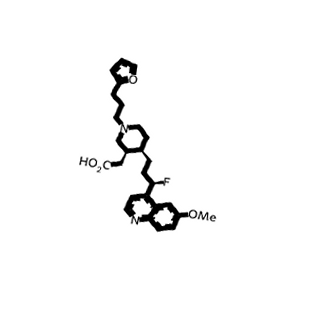 COc1ccc2nccc([C@H](F)CC[C@@H]3CCN(CCCc4ccco4)C[C@@H]3CC(=O)O)c2c1